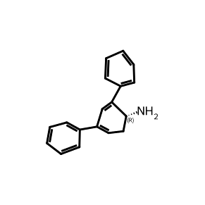 N[C@@H]1CC=C(c2ccccc2)C=C1c1ccccc1